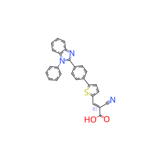 N#C/C(=C\c1ccc(-c2ccc(-c3nc4ccccc4n3-c3ccccc3)cc2)s1)C(=O)O